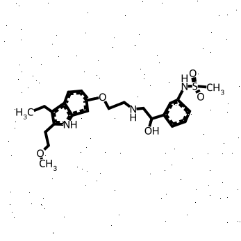 CCc1c(CCOC)[nH]c2cc(OCCNCC(O)c3cccc(NS(C)(=O)=O)c3)ccc12